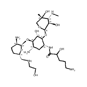 CN[C@@H]1[C@@H](O)[C@@H](O[C@@H]2[C@@H](O)[C@H](O[C@H]3O[C@H](CNCCO)CC[C@H]3N)[C@@H](N)C[C@H]2NC(=O)C(O)CCCN)OC[C@]1(C)O